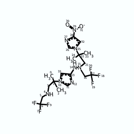 CC(C)(CNCC(F)(F)F)n1cnc(NN(CC(F)(F)F)CC(C)(C)n2cnc([N+](=O)[O-])c2)c1